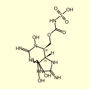 N=C1N[C@H]2[C@H](COC(=O)NS(=O)(=O)O)N(O)C(=N)N3CCC(O)(O)C23N1